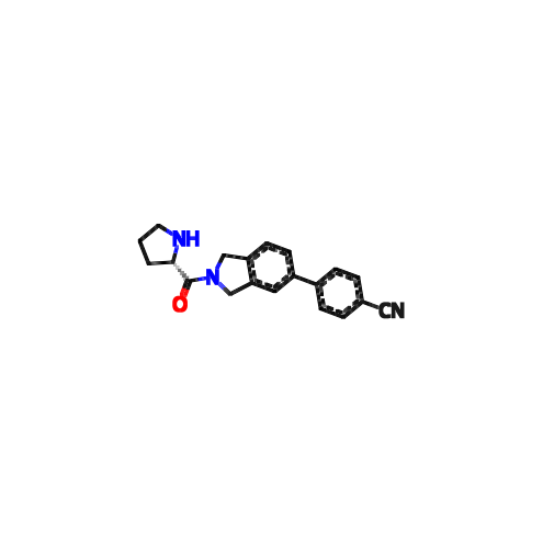 N#Cc1ccc(-c2ccc3c(c2)CN(C(=O)[C@@H]2CCCN2)C3)cc1